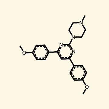 COc1ccc(-c2cc(-c3ccc(OC)cc3)nc(N3CCN(C)CC3)n2)cc1